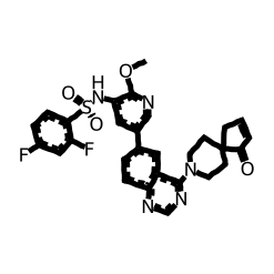 COc1ncc(-c2ccc3ncnc(N4CCC5(CC=CC5=O)CC4)c3c2)cc1NS(=O)(=O)c1ccc(F)cc1F